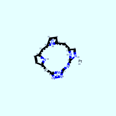 C1=Cc2cc3nnc(nc4nc(cc5ccc(cc1n2)[nH]5)C=N4)[nH]3.[Pt]